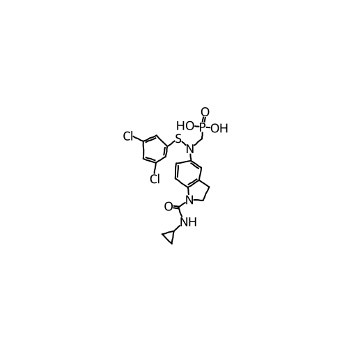 O=C(NC1CC1)N1CCc2cc(N(CP(=O)(O)O)Sc3cc(Cl)cc(Cl)c3)ccc21